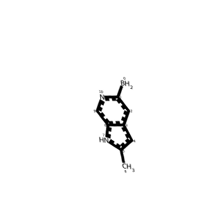 Bc1cc2cc(C)[nH]c2cn1